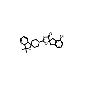 CC1(C)OC2(CCN(C3=NC(=O)C4(Cc5cccc(O)c5C4)O3)CC2)C2C=CC=NC21